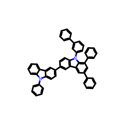 c1ccc(-c2cccc(-n3c4ccc(-c5ccc6c(c5)c5ccccc5n6-c5ccccc5)cc4c4cc(-c5ccccc5)cc(-c5ccccc5)c43)c2)cc1